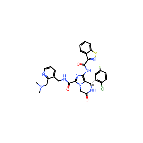 CN(C)Cc1ncccc1CNC(=O)c1nc(NC(=O)c2nsc3ccccc23)c2n1CC(=O)N[C@H]2c1cc(F)ccc1Cl